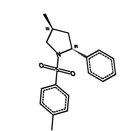 Cc1ccc(S(=O)(=O)N2C[C@@H](C)C[C@@H]2c2ccccc2)cc1